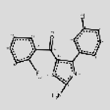 Nc1nc(-c2cccc(Cl)c2)c(C(=O)c2ccccc2F)s1